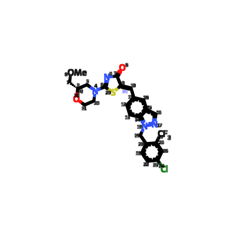 COC[C@@H]1CN(C2=NC(=O)/C(=C/c3ccc4c(cnn4Cc4ccc(Cl)cc4C(F)(F)F)c3)S2)CCO1